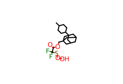 CC1CCC(C23CC4CC(CC(COC(=O)C(F)(F)SOO)(C4)C2)C3)CC1